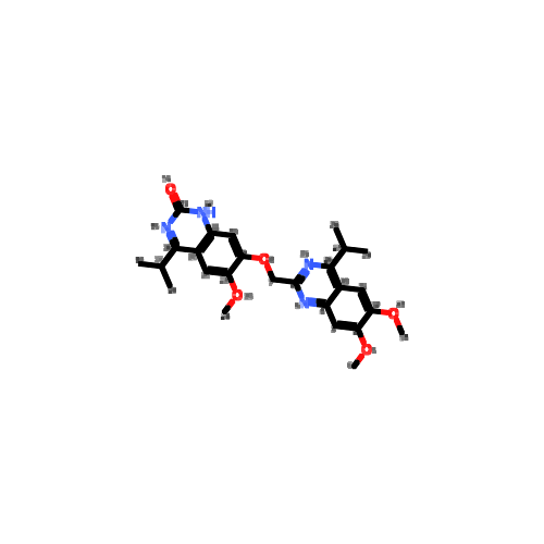 COc1cc2nc(COc3cc4[nH]c(=O)nc(C(C)C)c4cc3OC)nc(C(C)C)c2cc1OC